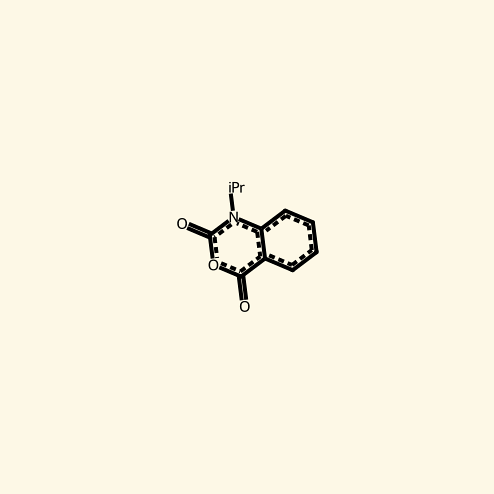 CC(C)n1c(=O)oc(=O)c2ccccc21